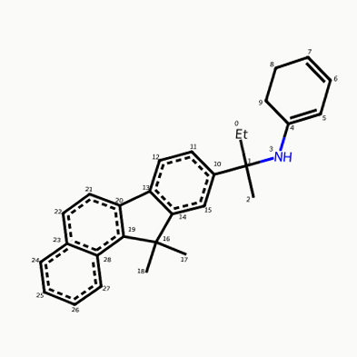 CCC(C)(NC1=CC=CCC1)c1ccc2c(c1)C(C)(C)c1c-2ccc2ccccc12